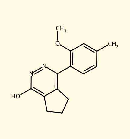 COc1cc(C)ccc1-c1nnc(O)c2c1CCC2